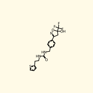 O=C(NCCc1cccs1)NCc1ccc(C2=NOC(O)(C(F)(F)F)C2)cc1